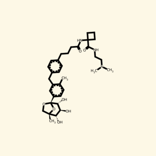 Cc1ccc([C@]23OC[C@](C)(O2)[C@@H](O)[C@H](O)[C@H]3O)cc1Cc1ccc(CCCC(=O)NC2(C(=O)NCCN(C)C)CCC2)cc1